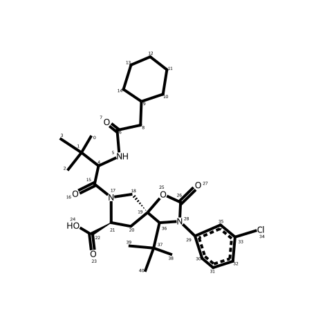 CC(C)(C)C(NC(=O)CC1CCCCC1)C(=O)N1C[C@]2(C[C@H]1C(=O)O)OC(=O)N(c1cccc(Cl)c1)C2C(C)(C)C